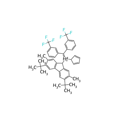 Cc1cc2c(cc1C(C)(C)C)-c1cc(C(C)(C)C)c(C)cc1[CH]2[Hf](=[C](c1cccc(C(F)(F)F)c1)c1cccc(C(F)(F)F)c1)[CH]1C=CC=C1